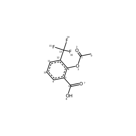 CC(=O)Oc1c(C(=O)O)cccc1C(F)(F)F